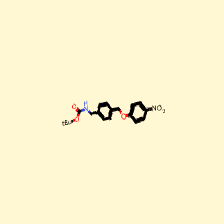 CC(C)(C)OC(=O)NCc1ccc(COc2ccc([N+](=O)[O-])cc2)cc1